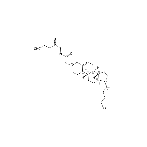 CC(C)CCC[C@@H](C)[C@H]1CC[C@H]2[C@@H]3CC=C4C[C@@H](OC(=O)NC[PH](=O)OCC=O)CC[C@]4(C)[C@H]3CC[C@]12C